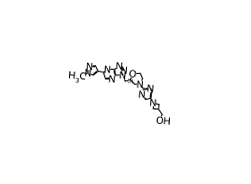 Cn1cc(-c2cnc3c(nnn3C[C@@H]3CN(c4ncc(N5CC(CO)C5)cn4)CCO3)n2)cn1